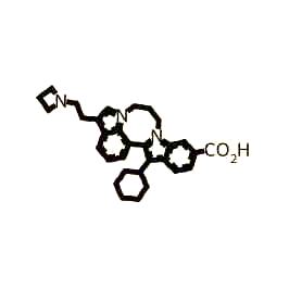 O=C(O)c1ccc2c(C3CCCCC3)c3n(c2c1)CCCn1cc(CCN2CCC2)c2cccc-3c21